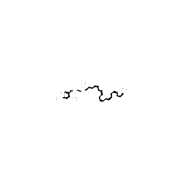 CC/C=C\C/C=C\C/C=C\C/C=C\C/C=C\C/C=C\CCC(=O)NCCNC(=O)c1ccc(CC)nc1